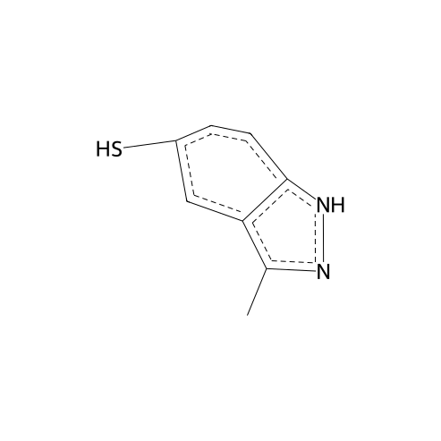 Cc1n[nH]c2ccc(S)cc12